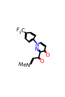 CN/C=C/C(=O)c1nn(-c2ccc(C(F)(F)F)cc2)ccc1=O